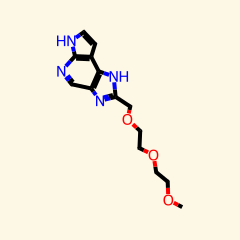 COCCOCCOCc1nc2cnc3[nH]ccc3c2[nH]1